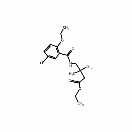 CCOC(=O)CC(C)(C)CNC(=O)c1cc(Cl)ccc1OCC